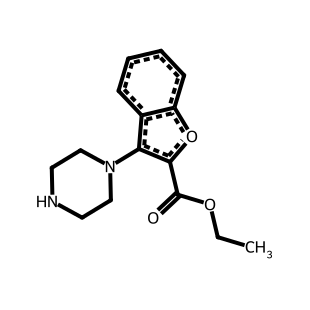 CCOC(=O)c1oc2ccccc2c1N1CCNCC1